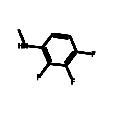 CNc1ccc(F)c(F)c1F